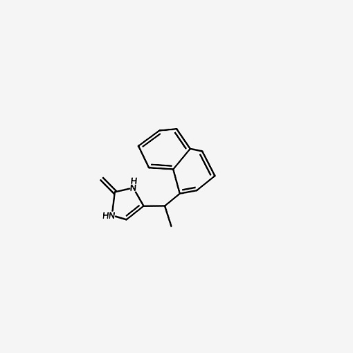 C=C1NC=C(C(C)c2cccc3ccccc23)N1